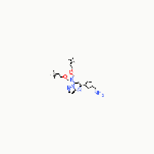 C[Si](C)(C)CCOCN(COCC[Si](C)(C)C)c1cc(C2CCC(CN)C2)nc2ccnn12